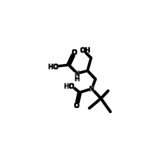 CC(C)(C)N(CC(CO)NC(=O)O)C(=O)O